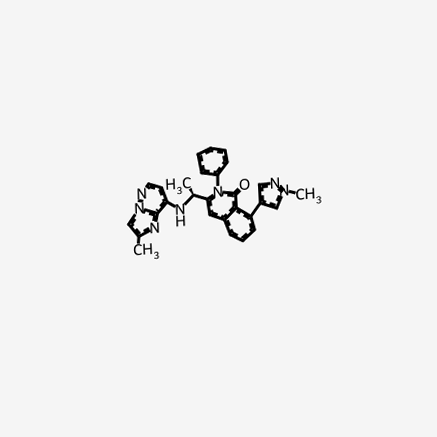 Cc1cn2nccc(N[C@@H](C)c3cc4cccc(-c5cnn(C)c5)c4c(=O)n3-c3ccccc3)c2n1